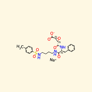 Cc1ccc(S(=O)(=O)NCCCCNC(=O)[C@H](Cc2ccccc2)NC(=O)[C@H]2O[C@@H]2C(=O)[O-])cc1.[Na+]